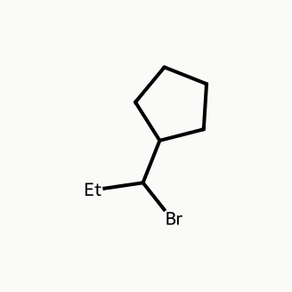 [CH2]CC(Br)C1CCCC1